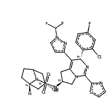 O=S(=O)(N[C@H]1CC2=C(c3ccn(C(F)F)n3)[C@H](c3ccc(F)cc3Cl)N=C(c3nccs3)N2C1)N1C2CC[C@H]1C[C@@H](O)C2